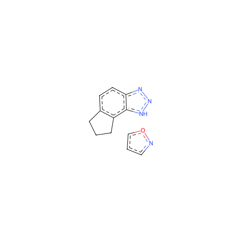 c1cc2nn[nH]c2c2c1CCC2.c1cnoc1